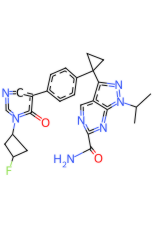 CC(C)n1nc(C2(c3ccc(-c4cncn(C5CC(F)C5)c4=O)cc3)CC2)c2cnc(C(N)=O)nc21